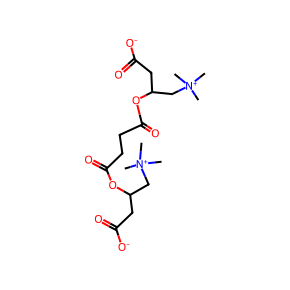 C[N+](C)(C)CC(CC(=O)[O-])OC(=O)CCC(=O)OC(CC(=O)[O-])C[N+](C)(C)C